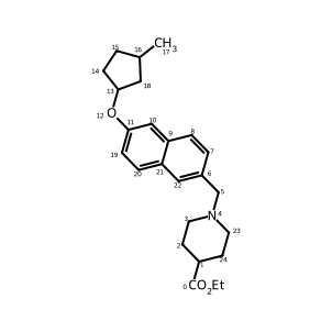 CCOC(=O)C1CCN(Cc2ccc3cc(OC4CCC(C)C4)ccc3c2)CC1